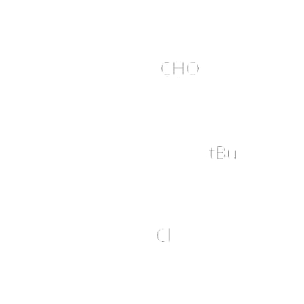 CC(C)(C)c1c(Cl)cccc1C=O